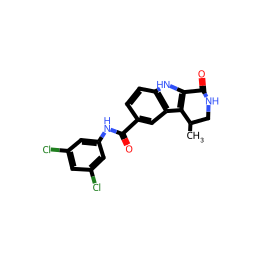 CC1CNC(=O)c2[nH]c3ccc(C(=O)Nc4cc(Cl)cc(Cl)c4)cc3c21